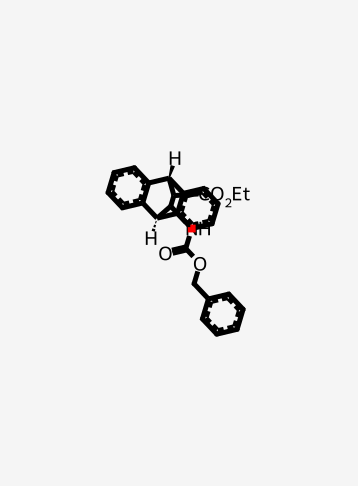 CCOC(=O)C1C(NC(=O)OCc2ccccc2)[C@H]2c3ccccc3[C@H]1c1ccccc12